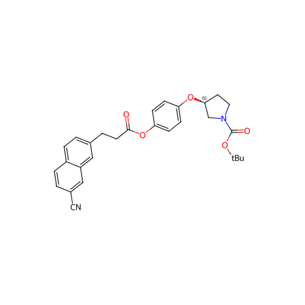 CC(C)(C)OC(=O)N1CC[C@H](Oc2ccc(OC(=O)CCc3ccc4ccc(C#N)cc4c3)cc2)C1